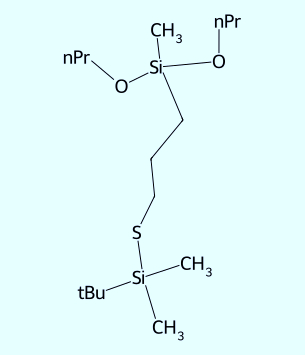 CCCO[Si](C)(CCCS[Si](C)(C)C(C)(C)C)OCCC